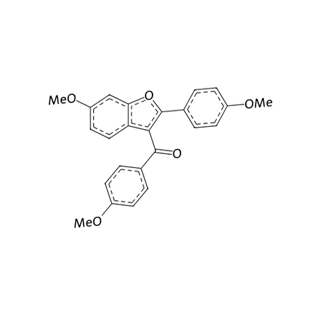 COc1ccc(C(=O)c2c(-c3ccc(OC)cc3)oc3cc(OC)ccc23)cc1